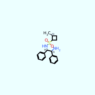 C[C@H]1CCC1S(=O)(=O)N[C@@H](c1ccccc1)[C@@H](N)c1ccccc1